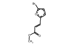 COC(=O)C=Cc1ccc(Br)o1